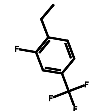 CCc1ccc(C(F)(F)F)cc1F